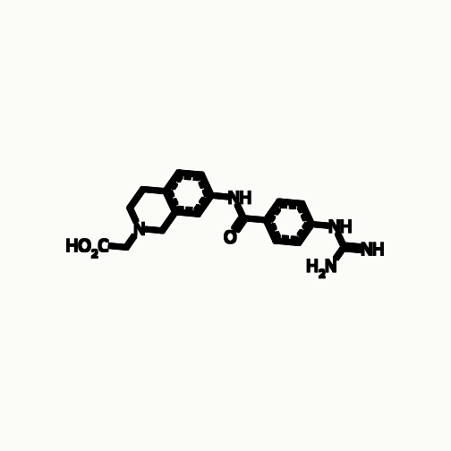 N=C(N)Nc1ccc(C(=O)Nc2ccc3c(c2)CN(CC(=O)O)CC3)cc1